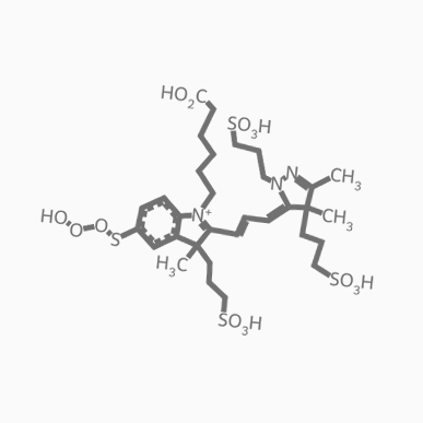 CC1=NN(CCCS(=O)(=O)O)/C(=C\C=C\C2=[N+](CCCCCC(=O)O)c3ccc(SOOO)cc3C2(C)CCCS(=O)(=O)O)C1(C)CCCS(=O)(=O)O